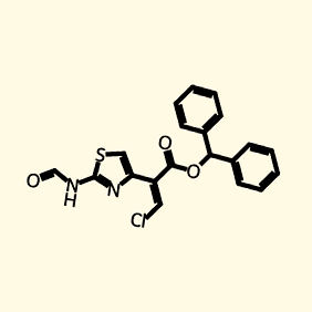 O=CNc1nc(C(=CCl)C(=O)OC(c2ccccc2)c2ccccc2)cs1